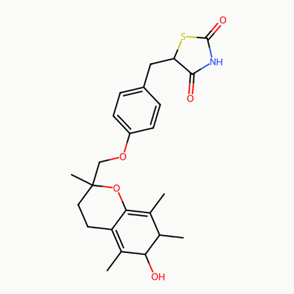 CC1=C2OC(C)(COc3ccc(CC4SC(=O)NC4=O)cc3)CCC2=C(C)C(O)C1C